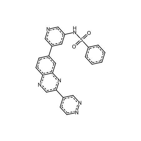 O=S(=O)(Nc1cncc(-c2ccc3ncc(-c4ccnnc4)nc3c2)c1)c1ccccc1